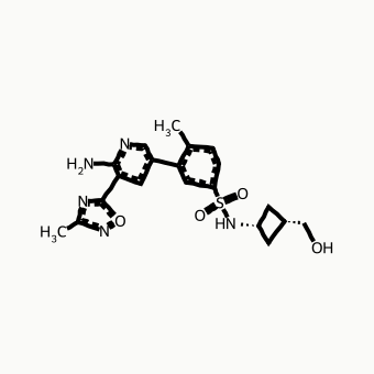 Cc1noc(-c2cc(-c3cc(S(=O)(=O)N[C@H]4C[C@@H](CO)C4)ccc3C)cnc2N)n1